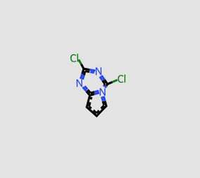 Clc1nc(Cl)n2cccc2n1